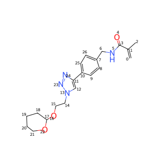 C=C(C)C(=O)NCc1ccc(-c2cn(CCOC3CCCCO3)nn2)cc1